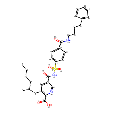 CCCCC(C)Cc1cc(C(=O)NS(=O)(=O)c2ccc(C(=O)NCCCCc3ccccc3)cc2)cnc1C(=O)O